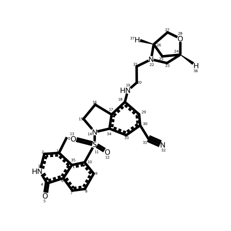 Cc1c[nH]c(=O)c2cccc(S(=O)(=O)N3CCc4c(NCCN5C[C@@H]6C[C@H]5CO6)cc(C#N)cc43)c12